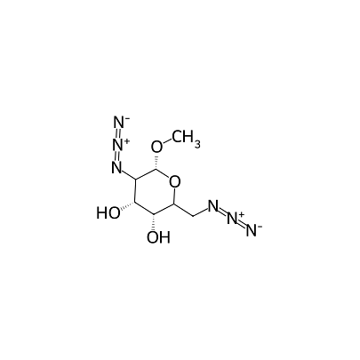 CO[C@@H]1OC(CN=[N+]=[N-])[C@H](O)[C@H](O)C1N=[N+]=[N-]